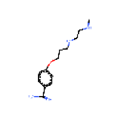 CNCCNCCCOc1ccc(C(=N)N)cc1